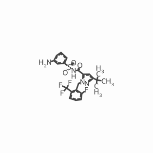 CC(C)(C)c1cc(C(=O)NS(=O)(=O)c2cccc(N)c2)n(Cc2c(F)cccc2C(F)(F)F)n1